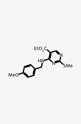 CCOC(=O)c1cnc(SC)nc1NCc1ccc(OC)cc1